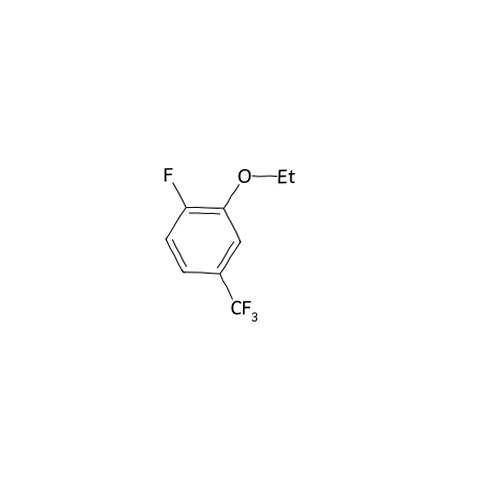 CCOc1cc(C(F)(F)F)ccc1F